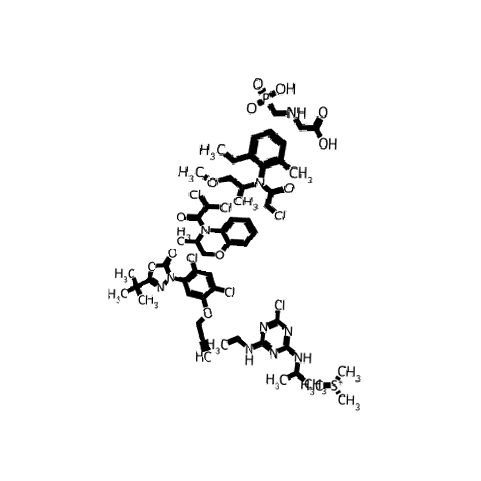 C#CCOc1cc(-n2nc(C(C)(C)C)oc2=O)c(Cl)cc1Cl.CC1COc2ccccc2N1C(=O)C(Cl)Cl.CCNc1nc(Cl)nc(NC(C)C)n1.CCc1cccc(C)c1N(C(=O)CCl)C(C)COC.C[S+](C)C.O=C(O)CNCP(=O)([O-])O